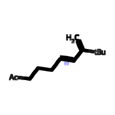 C=C(/C=C/CCCC(C)=O)C(C)(C)C